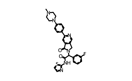 CN1CCN(c2ccc(-c3cc4c(cn3)CN(C(C(=O)Nc3nccs3)c3cccc(F)c3)C4=O)cc2)CC1